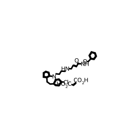 O=C(/C=C/CNCCCCN1c2ccccc2CCc2ccc(Cl)cc21)NOCc1ccccc1.O=C(O)/C=C\C(=O)O